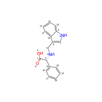 O=C(O)[C@H](NCc1c[nH]c2ccccc12)c1ccccc1